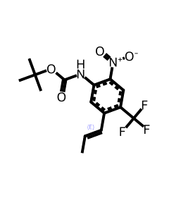 C/C=C/c1cc(NC(=O)OC(C)(C)C)c([N+](=O)[O-])cc1C(F)(F)F